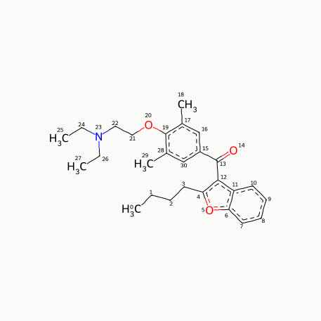 CCCCc1oc2ccccc2c1C(=O)c1cc(C)c(OCCN(CC)CC)c(C)c1